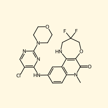 Cn1c(=O)c2c(c3cc(Nc4nc(N5CCOCC5)ncc4Cl)ccc31)NCC(F)(F)CO2